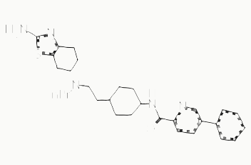 CCCN(CCC1CCC(NC(=O)c2ccc(-c3ccccc3)cn2)CC1)[C@H]1CCc2nc(N)sc2C1